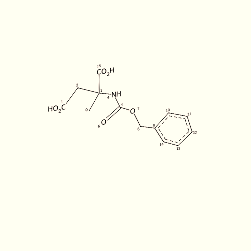 CC(CC(=O)O)(NC(=O)OCc1ccccc1)C(=O)O